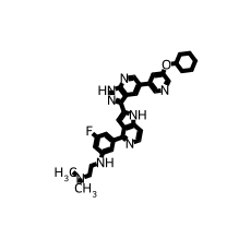 CN(C)CCNc1cc(F)cc(-c2nccc3[nH]c(-c4n[nH]c5ncc(-c6cncc(OC7CCCCC7)c6)cc45)cc23)c1